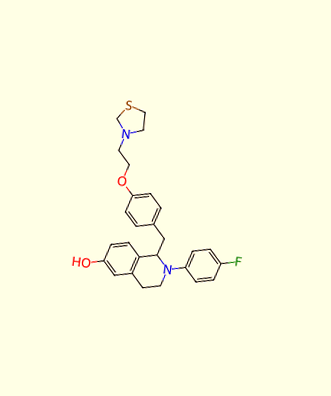 Oc1ccc2c(c1)CCN(c1ccc(F)cc1)C2Cc1ccc(OCCN2CCSC2)cc1